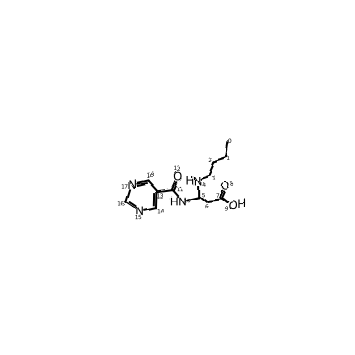 CCCCNC(CC(=O)O)NC(=O)c1cncnc1